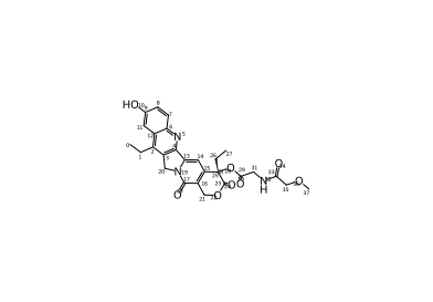 CCc1c2c(nc3ccc(O)cc13)-c1cc3c(c(=O)n1C2)COC(=O)[C@@]3(CC)OC(=O)CNC(=O)COC